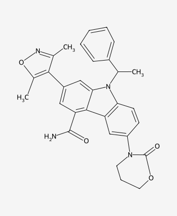 Cc1noc(C)c1-c1cc(C(N)=O)c2c3cc(N4CCCOC4=O)ccc3n(C(C)c3ccccc3)c2c1